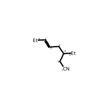 CC/C=C/CC(CC)CC#N